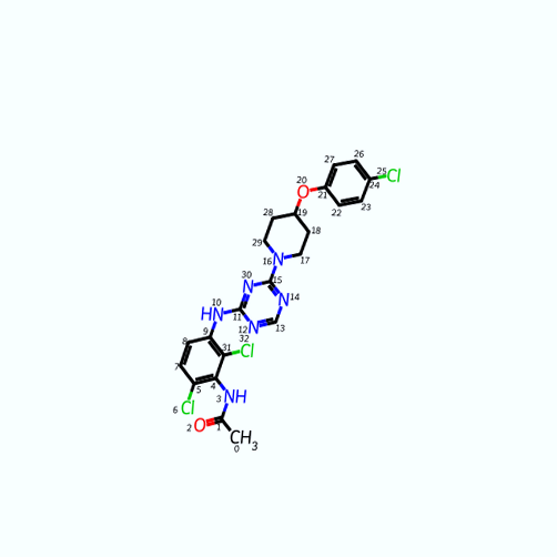 CC(=O)Nc1c(Cl)ccc(Nc2ncnc(N3CCC(Oc4ccc(Cl)cc4)CC3)n2)c1Cl